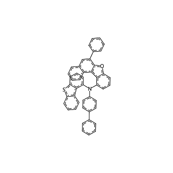 c1ccc(-c2ccc(N(c3cccc4sc5ccccc5c34)c3cccc4oc5c(-c6ccccc6)cc6ccccc6c5c34)cc2)cc1